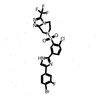 O=S(=O)(c1cc(-c2nc(-c3ccc(Br)c(F)c3)c[nH]2)ccc1Cl)N1CCn2c(nnc2C(F)(F)F)C1